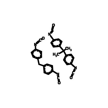 CC(C)(c1ccc(N=C=O)cc1)c1ccc(N=C=O)cc1.O=C=Nc1ccc(Cc2ccc(N=C=O)cc2)cc1